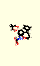 CC1(C)COB(c2cc(NC(=O)O)c3c(c2)C(c2ccccc2)CCCO3)OC1